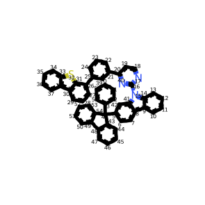 c1ccc(C2(c3ccc4c5ccccc5n(-c5nccc(-c6cccc(-c7cccc8c7sc7ccccc78)c6)n5)c4c3)c3ccccc3-c3ccccc32)cc1